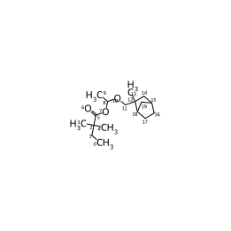 CCC(C)(C)C(=O)OC(C)OCC1(C)CC2CCC1C2